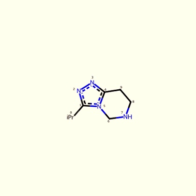 CC(C)c1nnc2n1CNCC2